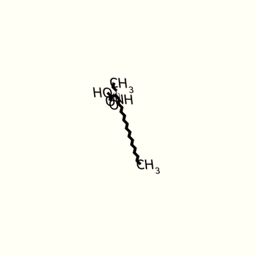 CCCCCCCCCCCCCCCC(=O)N[C@@H](CCC)C(=O)O